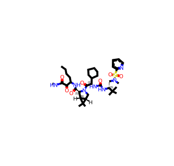 CCCCC(NC(=O)[C@@H]1[C@@H]2[C@H](CN1C(=O)[C@@H](NC(=O)N[C@H](CN(C)S(=O)(=O)c1ccccn1)C(C)(C)C)C1CCCCC1)C2(C)C)C(=O)C(=O)NC